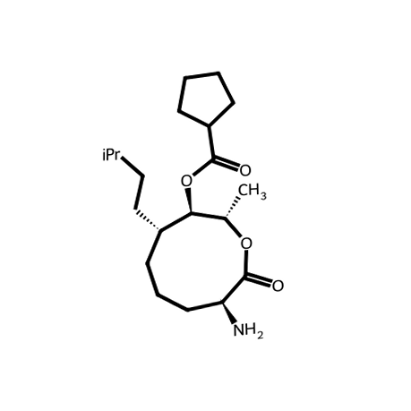 CC(C)CC[C@H]1CCC[C@H](N)C(=O)O[C@@H](C)[C@@H]1OC(=O)C1CCCC1